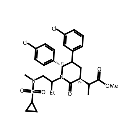 CCC(CN(C)S(=O)(=O)C1CC1)N1C(=O)[C@H](C(C)C(=O)OC)CC(c2cccc(Cl)c2)[C@H]1c1ccc(Cl)cc1